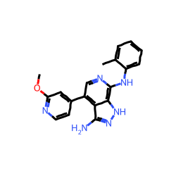 COc1cc(-c2cnc(Nc3ccccc3C)c3[nH]nc(N)c23)ccn1